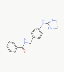 O=C(NCc1ccc(NC2=NCCN2)cc1)c1ccccc1